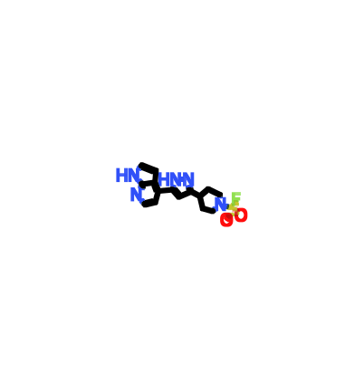 O=S(=O)(F)N1CCC(c2cc(-c3ccnc4[nH]ccc34)[nH]n2)CC1